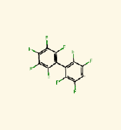 Fc1[c]c(F)c(F)c(-c2c(F)c(F)c(F)c(F)c2F)c1F